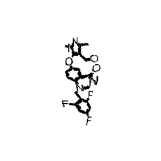 Cc1nn(C)c(Oc2ccc3c(c2)c(=O)ncn3Cc2c(F)cc(F)cc2F)c1C=O